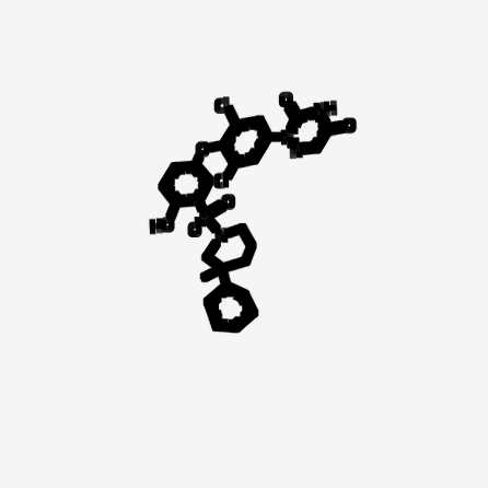 CC1(c2ccccc2)CCCN(S(=O)(=O)c2cc(Oc3c(Cl)cc(-n4ncc(=O)[nH]c4=O)cc3Cl)ccc2O)C1